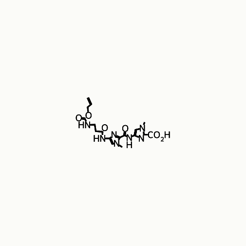 C=CCOC(=O)NCCC(=O)Nc1cn(C)c(C(=O)Nc2cn(C)c(C(=O)O)n2)n1